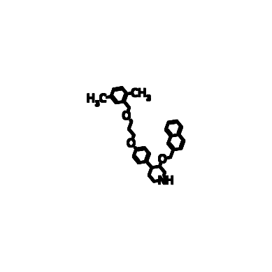 Cc1ccc(C)c(COCCCOc2ccc(C3CCNCC3OCc3ccc4ccccc4c3)cc2)c1